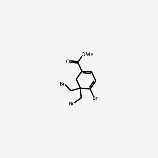 COC(=O)C1=CC=C(Br)C(CBr)(CBr)C1